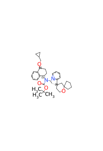 CC(C)(C)OC(=O)N(CC[C@@]1(c2ccccn2)CCOC2(CCCC2)C1)[C@H]1CC[C@H](OCC2CC2)c2ccccc21